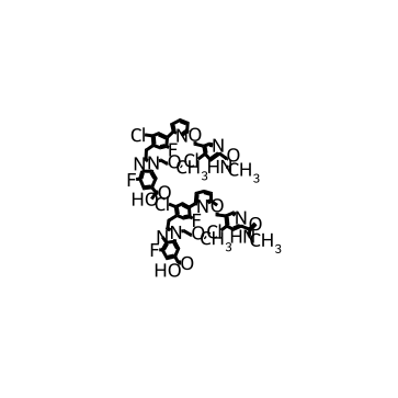 CNC(=O)c1cc(Cl)c(COc2cccc(-c3cc(Cl)c(Cc4nc5c(F)cc(C(=O)O)cc5n4CCOC)cc3F)n2)cn1.CNC(=O)c1cc(Cl)c(COc2cccc(-c3cc(Cl)c(Cc4nc5c(F)cc(C(=O)O)cc5n4CCOC)cc3F)n2)cn1